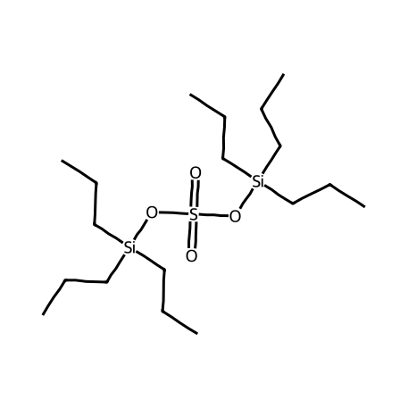 CCC[Si](CCC)(CCC)OS(=O)(=O)O[Si](CCC)(CCC)CCC